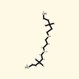 CC(C)(CCO)CCSCCCSCCC(C)(C)CCO